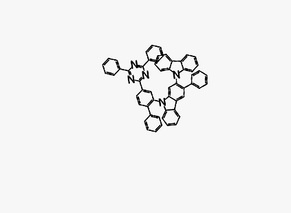 c1ccc(-c2nc(-c3ccccc3)nc(-c3ccc(-c4ccccc4)c(-n4c5ccccc5c5cc(-c6ccccc6)c(-n6c7ccccc7c7ccccc76)cc54)c3)n2)cc1